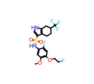 COc1cc(NS(=O)(=O)c2c[nH]c3c2CCC(C(F)(F)F)C3)c(F)cc1OCCF